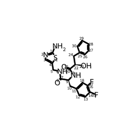 Nc1ncc(CNC(=O)[C@H](Cc2ccc(F)c(F)c2)NC(=O)[C@H](O)Cc2ccccc2)s1